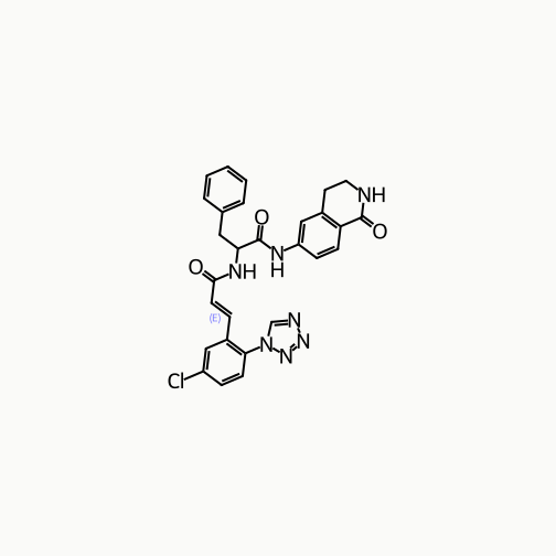 O=C(/C=C/c1cc(Cl)ccc1-n1cnnn1)NC(Cc1ccccc1)C(=O)Nc1ccc2c(c1)CCNC2=O